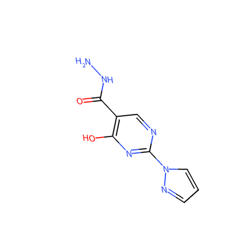 NNC(=O)c1cnc(-n2cccn2)nc1O